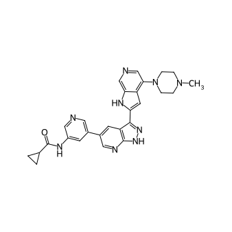 CN1CCN(c2cncc3[nH]c(-c4n[nH]c5ncc(-c6cncc(NC(=O)C7CC7)c6)cc45)cc23)CC1